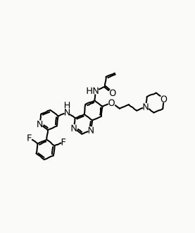 C=CC(=O)Nc1cc2c(Nc3ccnc(-c4c(F)cccc4F)c3)ncnc2cc1OCCCN1CCOCC1